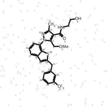 COCc1c(C(=O)NCCO)c(C)nn1-c1cccc2cc(Cc3cccc(C(F)(F)F)c3)sc12